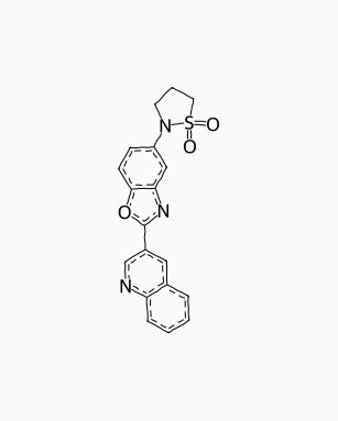 O=S1(=O)CCCN1c1ccc2oc(-c3cnc4ccccc4c3)nc2c1